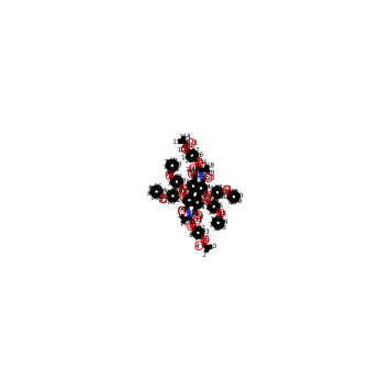 C=C(C)C(=O)Oc1ccc(OC(=O)C(C(C)C)N2C(=O)c3cc(Oc4ccc(Oc5ccccc5)cc4)c4c5c(Oc6ccc(Oc7ccccc7)cc6)cc6c7c(cc(Oc8ccc(Oc9ccccc9)cc8)c(c8c(Oc9ccc(Oc%10ccccc%10)cc9)cc(c3c48)C2=O)c75)C(=O)N(C(C(=O)Oc2ccc(OC(=O)C(=C)C)cc2)C(C)C)C6=O)cc1